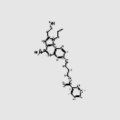 CCCn1c(CCO)nc2c(N)nc3cc(OCCCNC(=O)c4cccnc4)ccc3c21